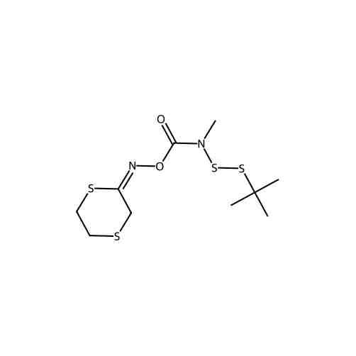 CN(SSC(C)(C)C)C(=O)ON=C1CSCCS1